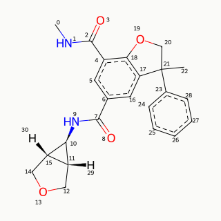 CNC(=O)c1cc(C(=O)N[C@H]2[C@@H]3COC[C@@H]32)cc2c1OCC2(C)c1ccccc1